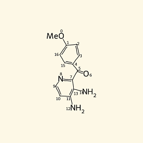 COc1ccc(C(=O)c2nccc(N)c2N)cc1